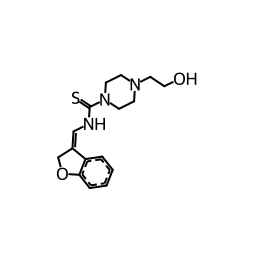 OCCN1CCN(C(=S)N/C=C2/COc3ccccc32)CC1